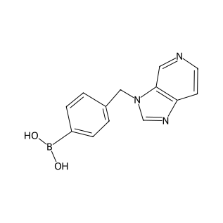 OB(O)c1ccc(Cn2cnc3ccncc32)cc1